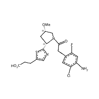 CO[C@H]1C[C@@H](c2ncc(CCC(=O)O)s2)N(C(=O)Cc2cc(Cl)c(N)cc2F)C1